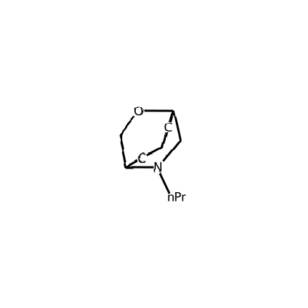 CCCN1CC2CCCC1CO2